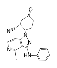 Cc1nccc2c1c(Nc1ccccc1)nn2C1CCC(=O)CC1C#N